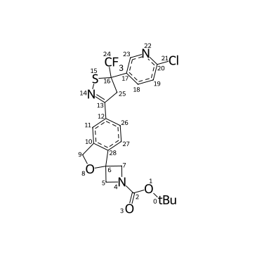 CC(C)(C)OC(=O)N1CC2(C1)OCc1cc(C3=NSC(c4ccc(Cl)nc4)(C(F)(F)F)C3)ccc12